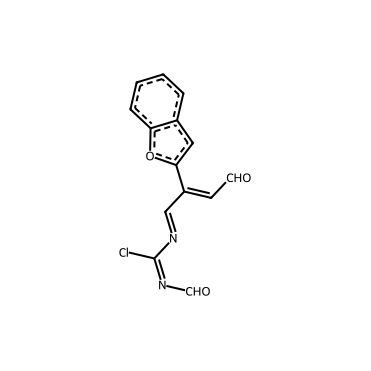 O=C/C=C(/C=N/C(Cl)=N\C=O)c1cc2ccccc2o1